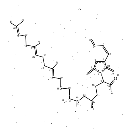 C=C/C=C\c1cc(=C)n(C(CCC(=C)CN[C@H](C)CSC/C=C(\C)CC/C=C(\C)CCC=C(C)C)C(C)=O)c1=C